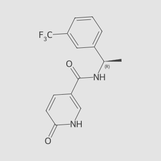 C[C@@H](NC(=O)c1ccc(=O)[nH]c1)c1cccc(C(F)(F)F)c1